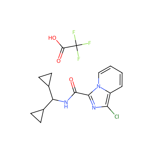 O=C(NC(C1CC1)C1CC1)c1nc(Cl)c2ccccn12.O=C(O)C(F)(F)F